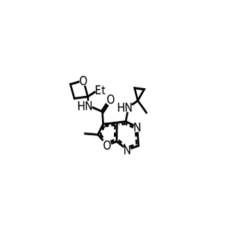 CCC1(NC(=O)c2c(C)oc3ncnc(NC4(C)CC4)c23)CCO1